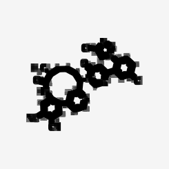 C[C@@H]1CCC[C@H](n2cnc(-c3cc(Cl)ccc3-n3cc(Cl)nn3)cc2=O)c2cc(ccn2)-c2cc(C#N)c(C#N)cc2NC1=O